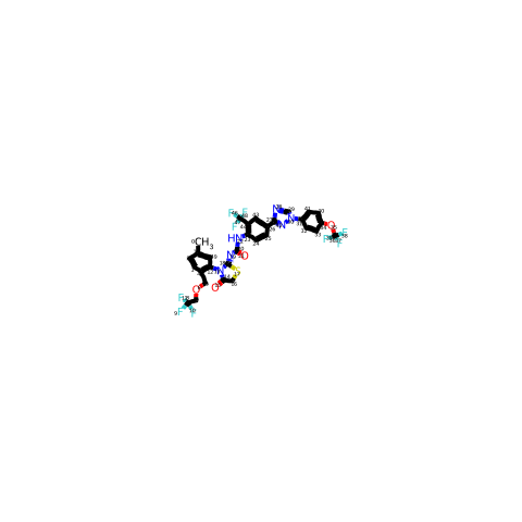 Cc1ccc(COCC(F)(F)F)c(N2C(=O)CS/C2=N\C(=O)Nc2ccc(-c3ncn(-c4ccc(OC(F)(F)F)cc4)n3)cc2C(F)(F)F)c1